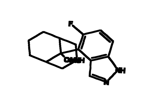 COC1(c2c(F)ccc3[nH]ncc23)C2CCCC1CNC2